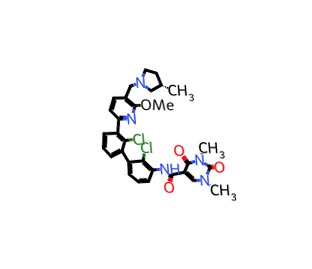 COc1nc(-c2cccc(-c3cccc(NC(=O)c4cn(C)c(=O)n(C)c4=O)c3Cl)c2Cl)ccc1CN1CC[C@H](C)C1